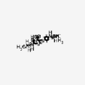 CCNBSNc1ccc(SCC2=C(C(=O)O)N3C(=O)C(NSBNCC)C3SC2)cc1